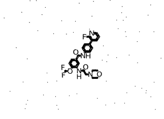 O=C(CN1CCOCC1)Nc1cc(C(=O)Nc2ccc(-c3cccnc3F)cc2)ccc1OC(F)F